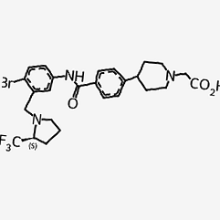 O=C(O)CN1CCC(c2ccc(C(=O)Nc3ccc(Br)c(CN4CCC[C@H]4C(F)(F)F)c3)cc2)CC1